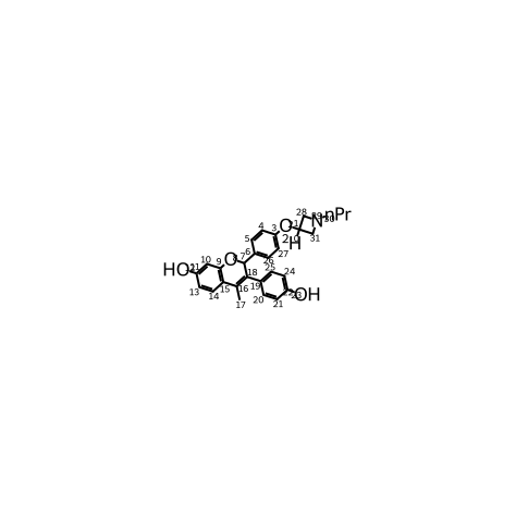 [2H]C1(Oc2ccc(C3Oc4cc(O)ccc4C(C)=C3c3ccc(O)cc3)cc2)CN(CCC)C1